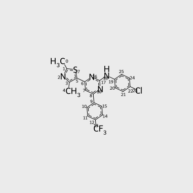 Cc1nc(C)c(-c2cc(-c3ccc(C(F)(F)F)cc3)nc(Nc3ccc(Cl)cc3)n2)s1